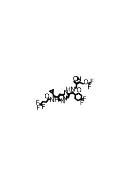 O=C(CCC(F)(F)F)N[C@@H](c1cnn2cc([C@@H](NC(=O)c3conc3COC(F)F)C3CCC(F)(F)CC3)nc2c1)C1CC1